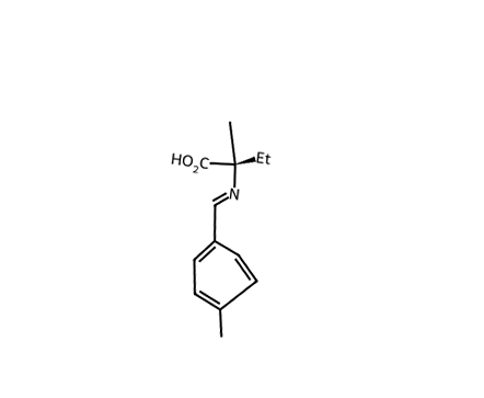 CC[C@@](C)(N=Cc1ccc(C)cc1)C(=O)O